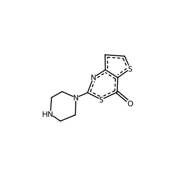 O=c1sc(N2CCNCC2)nc2ccsc12